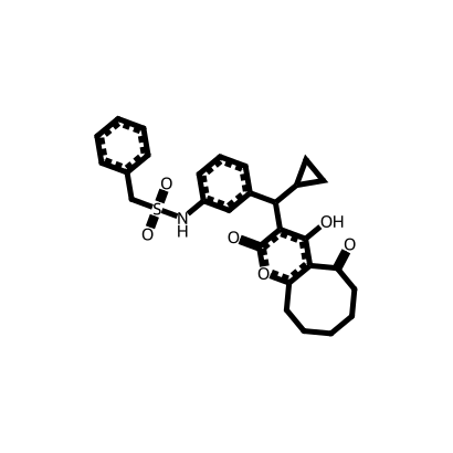 O=C1CCCCCc2oc(=O)c(C(c3cccc(NS(=O)(=O)Cc4ccccc4)c3)C3CC3)c(O)c21